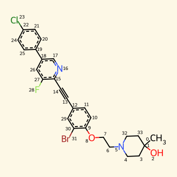 CC1(O)CCN(CCOc2ccc(C#Cc3ncc(-c4ccc(Cl)cc4)cc3F)cc2Br)CC1